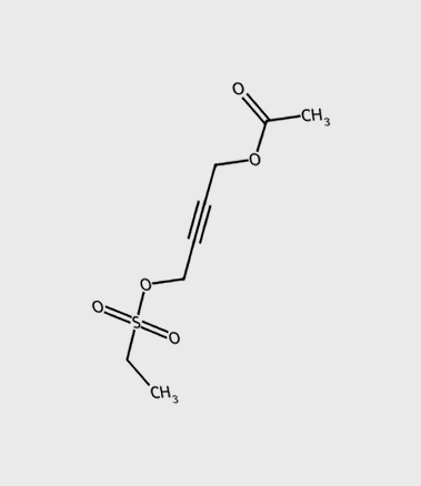 CCS(=O)(=O)OCC#CCOC(C)=O